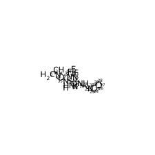 C=C(C)N1CCC(Nc2nc(C(F)(F)F)nc3c(NCCCN4CCc5ccccc5C4)n[nH]c23)CC1